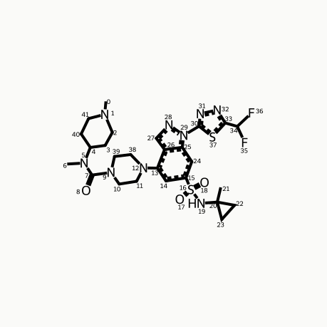 CN1CCC(N(C)C(=O)N2CCN(c3cc(S(=O)(=O)NC4(C)CC4)cc4c3cnn4-c3nnc(C(F)F)s3)CC2)CC1